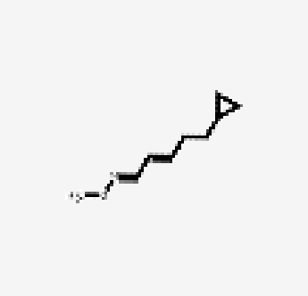 CON=CC=CCCC1[CH]C1